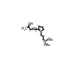 CCCCN(CCCC)CCCN1CCCC1CNCC(C)O